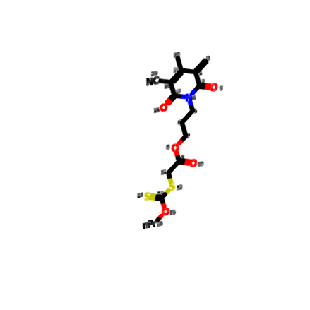 C=C1C(=O)N(CCCOC(=O)CSC(=S)OCCC)C(=O)C(C#N)=C1C